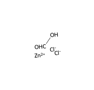 O=CO.[Cl-].[Cl-].[Zn+2]